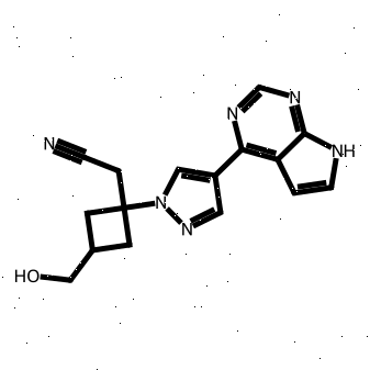 N#CCC1(n2cc(-c3ncnc4[nH]ccc34)cn2)CC(CO)C1